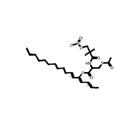 C/C=C/C=C(/C=C/CCCCCCCCCC)OC(=O)C(CSC(C)=O)NC(=O)C(C)(C)CO[N+](=O)[O-]